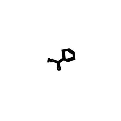 [C]C(=O)C(=O)c1ccccc1